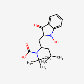 CC(C)CC(CC1C(=O)c2ccccc2N1O)N(C(=O)O)C(C)(C)C